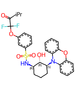 CC(C)C(=O)C(F)(F)Oc1cccc(S(=O)(=O)N[C@@H]2CCC[C@H](N3c4ccccc4Oc4ccccc43)[C@H]2O)c1